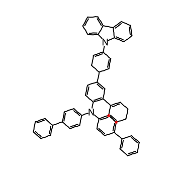 C1=CC(c2cc(C3C=CC(n4c5ccccc5c5ccccc54)=CC3)ccc2N(c2ccc(-c3ccccc3)cc2)c2ccc(-c3ccccc3)cc2)=CCC1